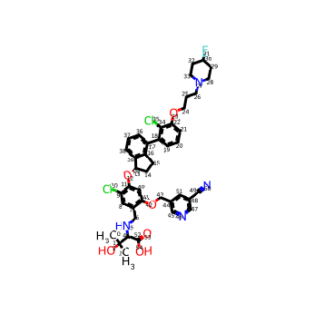 CC(C)(O)C(NCc1cc(Cl)c(O[C@H]2CCc3c(-c4cccc(OCCCN5CCC(F)CC5)c4Cl)cccc32)cc1OCc1cncc(C#N)c1)C(=O)O